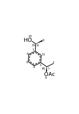 CC(=O)O[C@H](C)c1cccc([C@H](C)O)c1